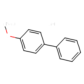 CCCCCOc1ccc(-c2ccccc2)cc1.[LiH]